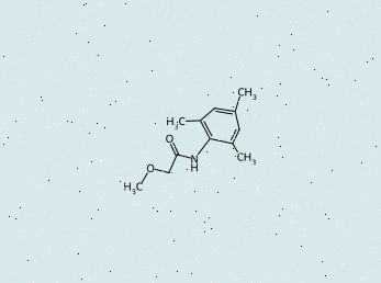 CO[CH]C(=O)Nc1c(C)cc(C)cc1C